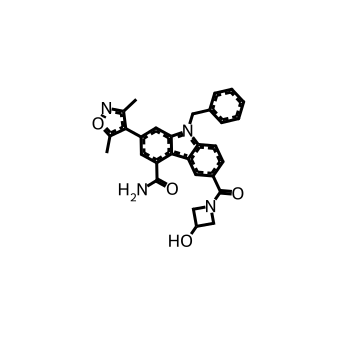 Cc1noc(C)c1-c1cc(C(N)=O)c2c3cc(C(=O)N4CC(O)C4)ccc3n(Cc3ccccc3)c2c1